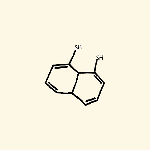 SC1=CC=CC2C=CC=C(S)C12